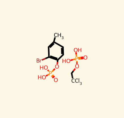 Cc1ccc(OP(=O)(O)O)c(Br)c1.O=P(O)(O)OCC(Cl)(Cl)Cl